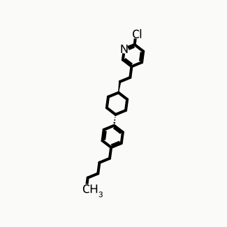 CCCCCc1ccc([C@H]2CC[C@H](CCc3ccc(Cl)nc3)CC2)cc1